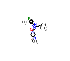 Cc1nc2c(s1)CCN(C(=O)Cn1nc(-c3ccc(F)c(C)c3)nc1CCC(C)C)CC2